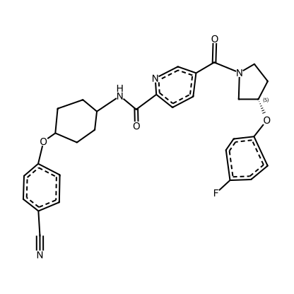 N#Cc1ccc(OC2CCC(NC(=O)c3ccc(C(=O)N4CC[C@H](Oc5ccc(F)cc5)C4)cn3)CC2)cc1